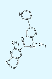 Cc1nc2ncccc2cc1C(=O)NC(C)c1ccc(-c2cccnc2)cc1